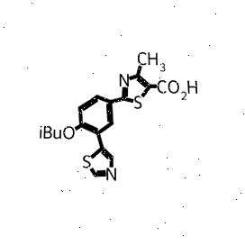 Cc1nc(-c2ccc(OCC(C)C)c(-c3cncs3)c2)sc1C(=O)O